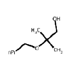 CCCCOC(C)(C)CO